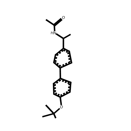 CC(=O)NC(C)c1ccc(-c2ccc(OC(C)(C)C)cc2)cc1